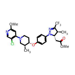 COC(=O)C[C@H]1[C@H](C)C(C(F)(F)F)=NN1c1ccc(O[C@H]2CCN(c3cc(OC)ncc3Cl)C[C@@H]2C)cc1